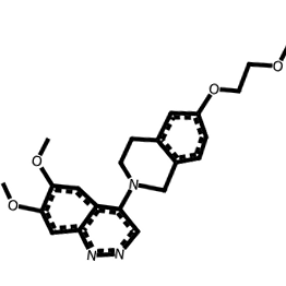 COCCOc1ccc2c(c1)CCN(c1cnnc3cc(OC)c(OC)cc13)C2